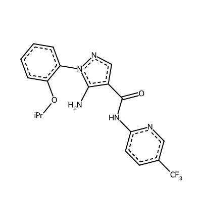 CC(C)Oc1ccccc1-n1ncc(C(=O)Nc2ccc(C(F)(F)F)cn2)c1N